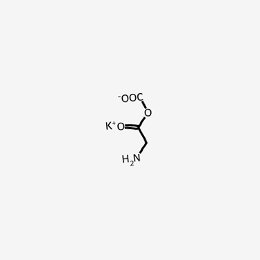 NCC(=O)OC(=O)[O-].[K+]